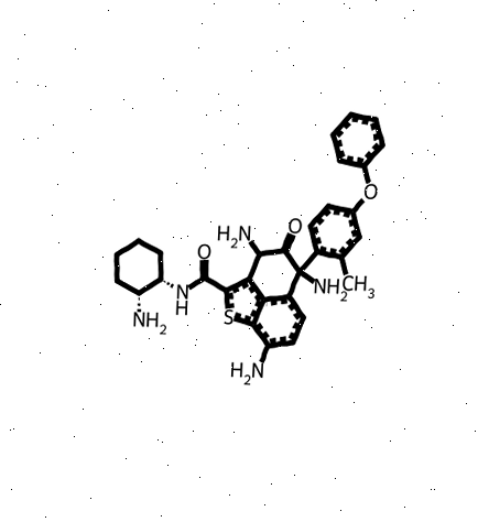 Cc1cc(Oc2ccccc2)ccc1C1(N)C(=O)C(N)c2c(C(=O)N[C@H]3CCCC[C@H]3N)sc3c(N)ccc1c23